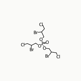 O=P(OCC(Br)CCl)(OCC(Br)CCl)OCC(Br)CCl